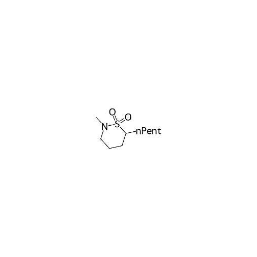 CCCCCC1CCCN(C)S1(=O)=O